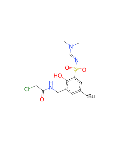 CN(C)C=NS(=O)(=O)c1cc(C(C)(C)C)cc(CNC(=O)CCl)c1O